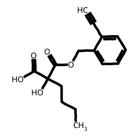 C#Cc1ccccc1COC(=O)C(O)(CCCC)C(=O)O